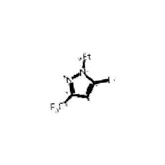 CCn1nc(C(F)(F)F)cc1I